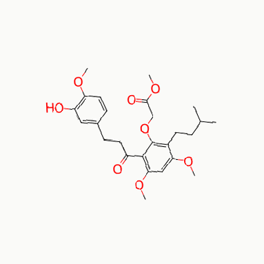 COC(=O)COc1c(CCC(C)C)c(OC)cc(OC)c1C(=O)CCc1ccc(OC)c(O)c1